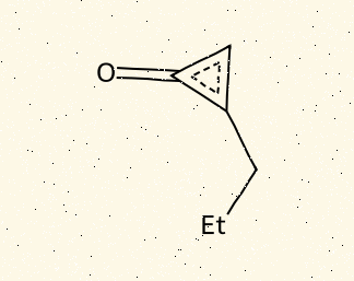 CCCc1cc1=O